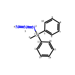 C[Si](N=[N+]=[N-])(c1ccccc1)c1ccccc1